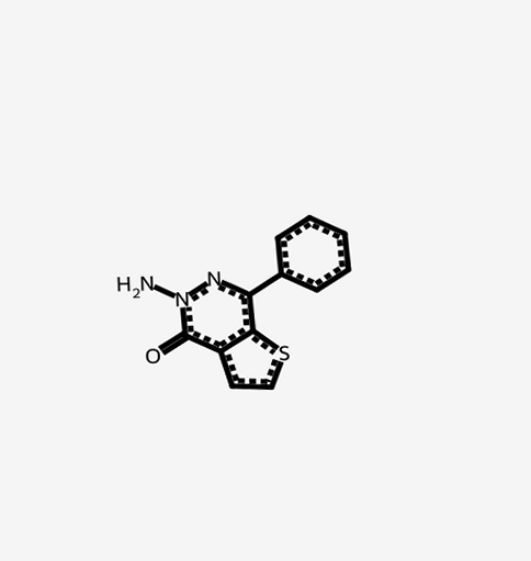 Nn1nc(-c2ccccc2)c2sccc2c1=O